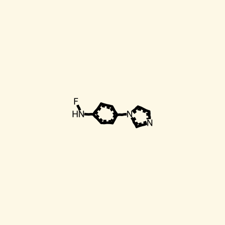 FNc1ccc(-n2ccnc2)cc1